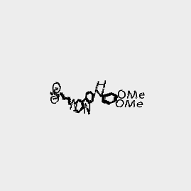 COc1ccc(Nc2ccc3c4c(n(C)c3c2)CCN(CCCCS(C)(=O)=O)C4)cc1OC